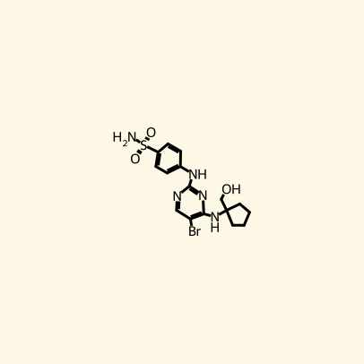 NS(=O)(=O)c1ccc(Nc2ncc(Br)c(NC3(CO)CCCC3)n2)cc1